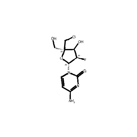 Nc1ccn([C@@H]2O[C@@](CO)(CCl)C(O)[C@H]2F)c(=O)n1